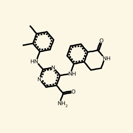 Cc1cccc(Nc2ncc(C(N)=O)c(Nc3cccc4c3CCNC4=O)n2)c1C